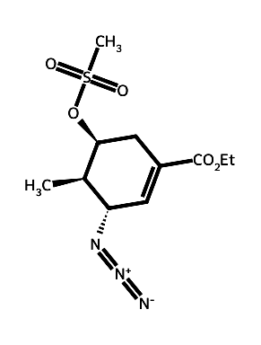 CCOC(=O)C1=C[C@H](N=[N+]=[N-])[C@@H](C)[C@@H](OS(C)(=O)=O)C1